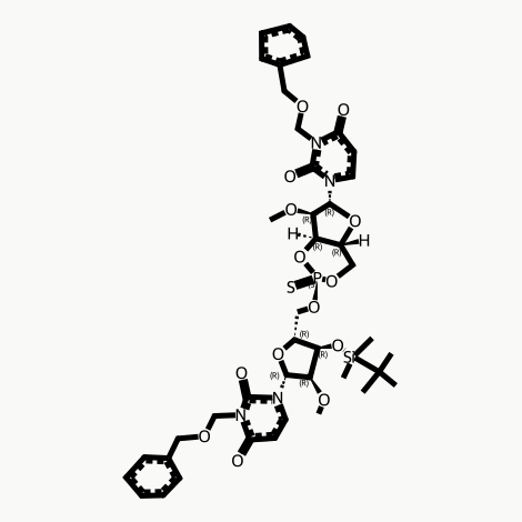 CO[C@@H]1[C@H](O[Si](C)(C)C(C)(C)C)[C@@H](CO[P@]2(=S)OC[C@H]3O[C@@H](n4ccc(=O)n(COCc5ccccc5)c4=O)[C@H](OC)[C@@H]3O2)O[C@H]1n1ccc(=O)n(COCc2ccccc2)c1=O